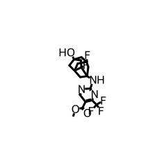 COC(=O)c1cnc(NC23CC4(F)CC5(O)CC(C4)(C2)C3(F)C5)nc1C(F)(F)F